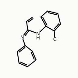 C=CC(=Nc1ccccc1)Nc1ccccc1Cl